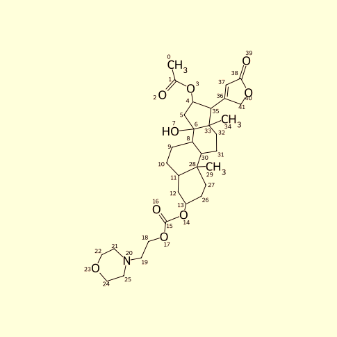 CC(=O)OC1CC2(O)C3CCC4CC(OC(=O)OCCN5CCOCC5)CCC4(C)C3CCC2(C)C1C1=CC(=O)OC1